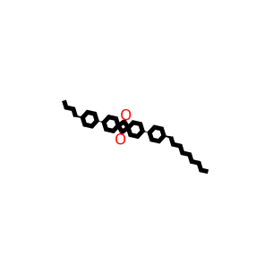 CCCCCCCCC[C@H]1CC[C@H](C2CCC3(CC2)C(=O)C2(CCC([C@H]4CC[C@H](CCCC)CC4)CC2)C3=O)CC1